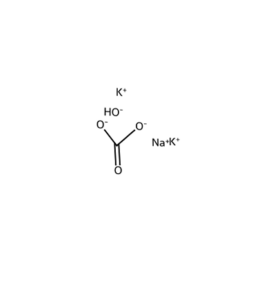 O=C([O-])[O-].[K+].[K+].[Na+].[OH-]